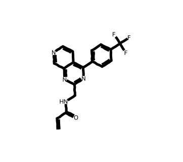 C=CC(=O)NCc1nc(-c2ccc(C(F)(F)F)cc2)c2ccncc2n1